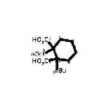 CCCCCCCCC1(C(=O)O)CCCCC1(CCCC)C(=O)O